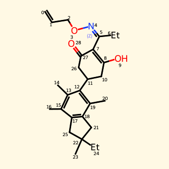 C=CCO/N=C(/CC)C1=C(O)CC(c2c(C)c(C)c3c(c2C)CC(C)(CC)C3)CC1=O